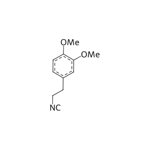 [C-]#[N+]CCc1ccc(OC)c(OC)c1